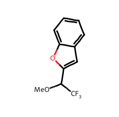 COC(c1cc2ccccc2o1)C(F)(F)F